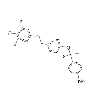 CCCc1ccc(C(F)(F)Oc2ccc(CCc3cc(F)c(F)c(F)c3)cc2)cc1